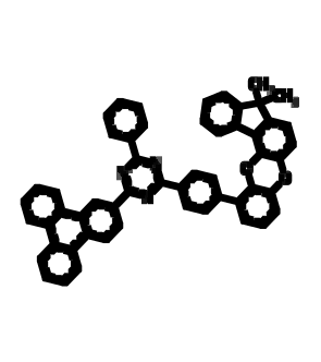 CC1(C)c2ccccc2-c2c1ccc1c2Oc2c(cccc2-c2ccc(-c3nc(-c4ccccc4)nc(-c4ccc5c6ccccc6c6ccccc6c5c4)n3)cc2)O1